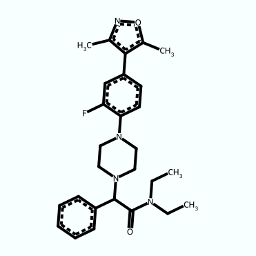 CCN(CC)C(=O)C(c1ccccc1)N1CCN(c2ccc(-c3c(C)noc3C)cc2F)CC1